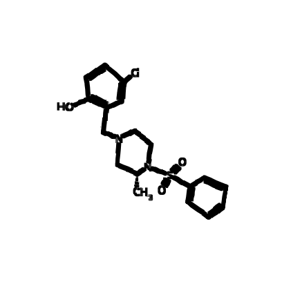 C[C@@H]1CN(Cc2cc(Cl)ccc2O)CCN1S(=O)(=O)c1ccccc1